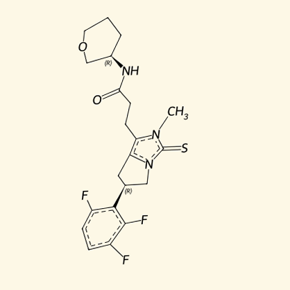 Cn1c(CCC(=O)N[C@@H]2CCCOC2)c2n(c1=S)C[C@@H](c1c(F)ccc(F)c1F)C2